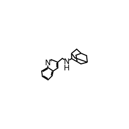 c1ccc2ncc(CNC3C4CC5CC(C4)CC3C5)cc2c1